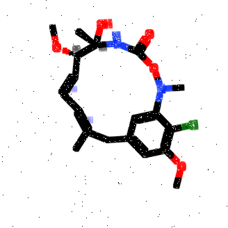 COc1cc2cc(c1Cl)N(C)OC(=O)N[C@@](C)(O)[C@@H](OC)/C=C/C=C(\C)C2